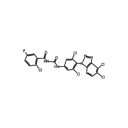 O=C(NC(=O)c1cc(F)ccc1Cl)Nc1cc(Cl)c(-n2nnc3c(Cl)c(Cl)ccc32)c(Cl)c1